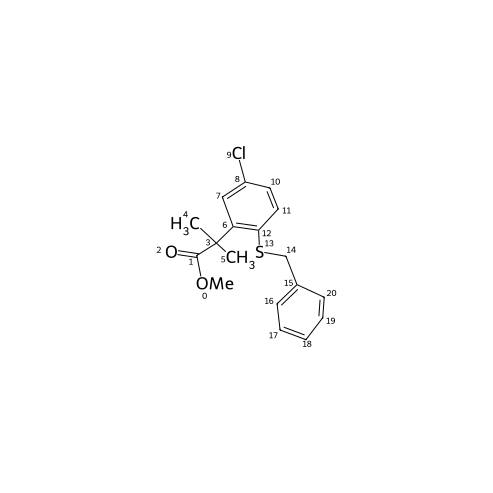 COC(=O)C(C)(C)c1cc(Cl)ccc1SCc1ccccc1